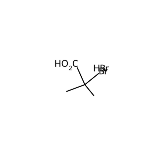 Br.CC(C)(Br)C(=O)O